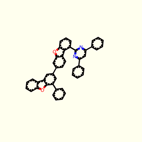 c1ccc(-c2cc(-c3ccccc3)nc(-c3cccc4oc5cc(-c6cc(-c7ccccc7)c7oc8ccccc8c7c6)ccc5c34)n2)cc1